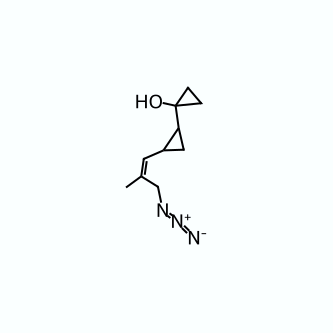 C/C(=C/C1CC1C1(O)CC1)CN=[N+]=[N-]